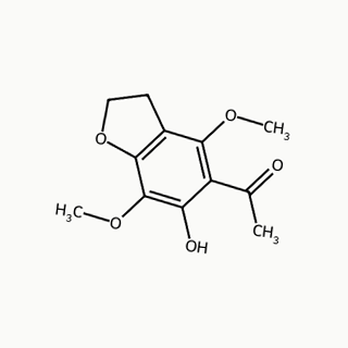 COc1c(O)c(C(C)=O)c(OC)c2c1OCC2